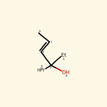 C/C=C/C(O)(CC)CCC